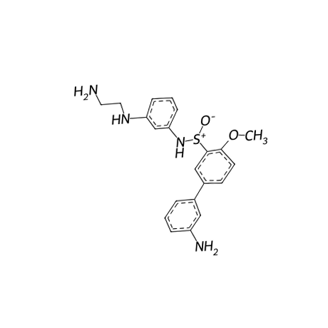 COc1ccc(-c2cccc(N)c2)cc1[S+]([O-])Nc1cccc(NCCN)c1